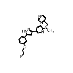 CN(Cc1ccncn1)c1ccc(-c2cc(-c3cccc(OCCF)c3)[nH]n2)cn1